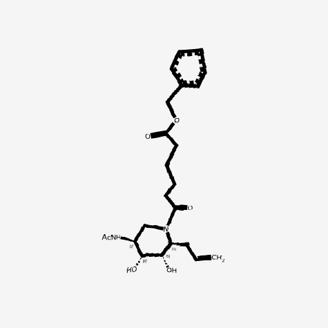 C=CC[C@H]1[C@H](O)[C@H](O)[C@@H](NC(C)=O)CN1C(=O)CCCCC(=O)OCc1ccccc1